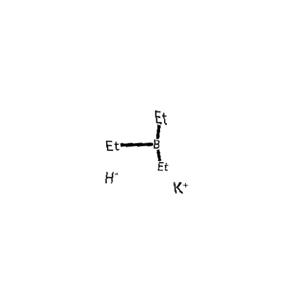 CCB(CC)CC.[H-].[K+]